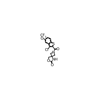 O=C1NC2(CO1)CN(C(=O)c1sc3ccc(OC(F)(F)F)cc3c1Cl)C2